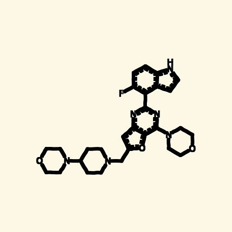 Fc1ccc2[nH]ccc2c1-c1nc(N2CCOCC2)c2oc(CN3CCC(N4CCOCC4)CC3)cc2n1